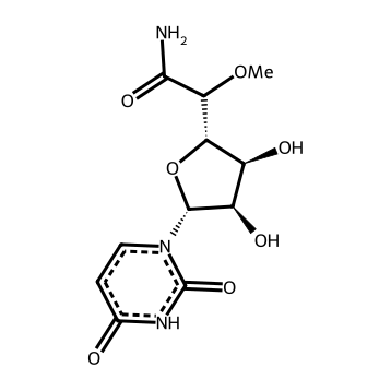 COC(C(N)=O)[C@H]1O[C@@H](n2ccc(=O)[nH]c2=O)[C@H](O)[C@@H]1O